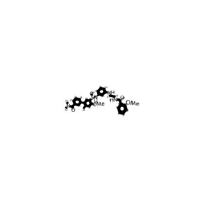 COc1ccccc1C(=O)NCCNc1cccc(N[S+]([O-])c2cc(-c3cccc(C(=O)N(C)C)c3)c(C)cc2OC)c1